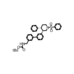 CC(C)(C)OC(=O)NCc1cccc(-c2cccc([C@@H]3CN(S(=O)(=O)c4ccccc4)CC[C@H]3c3ccccc3)c2)c1